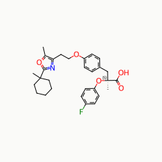 Cc1oc(C2(C)CCCCC2)nc1CCOc1ccc(C[C@](C)(Oc2ccc(F)cc2)C(=O)O)cc1